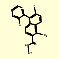 CCCNC(=O)c1ncc2c(-c3ncccc3Cl)c(F)ccc2c1N